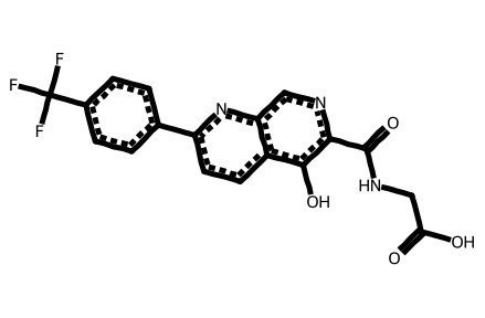 O=C(O)CNC(=O)c1ncc2nc(-c3ccc(C(F)(F)F)cc3)ccc2c1O